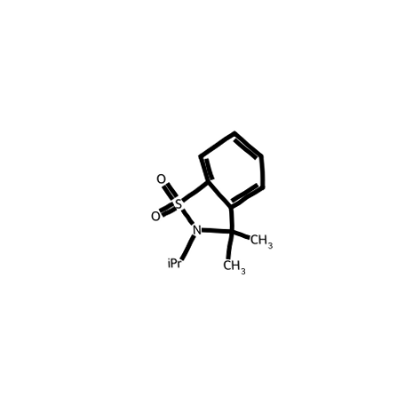 CC(C)N1C(C)(C)c2ccccc2S1(=O)=O